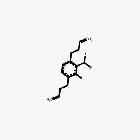 C=CCCc1ccc(CCC=C)c(C(F)F)c1F